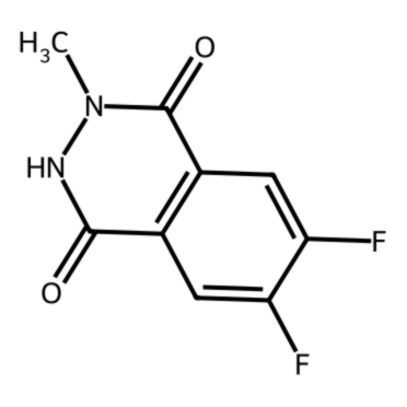 Cn1[nH]c(=O)c2cc(F)c(F)cc2c1=O